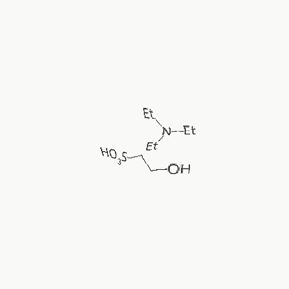 CCN(CC)CC.O=S(=O)(O)CCO